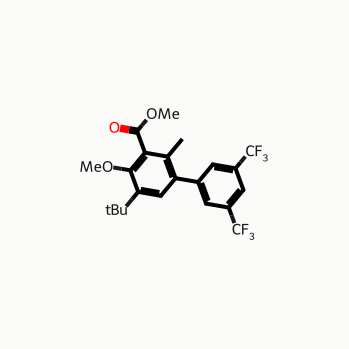 COC(=O)c1c(C)c(-c2cc(C(F)(F)F)cc(C(F)(F)F)c2)cc(C(C)(C)C)c1OC